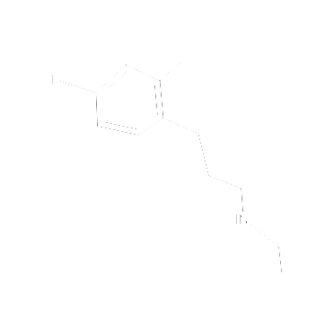 CCNCCCc1ccc(F)cc1C